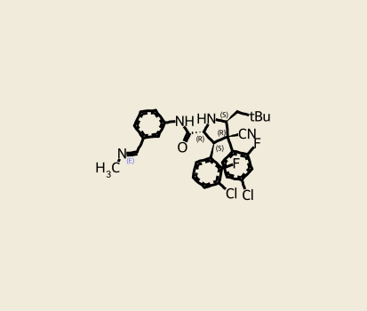 C/N=C/c1cccc(NC(=O)[C@@H]2N[C@@H](CC(C)(C)C)[C@](C#N)(c3ccc(Cl)cc3F)[C@H]2c2cccc(Cl)c2F)c1